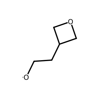 [O]CCC1COC1